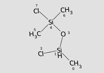 C[SiH](Cl)O[Si](C)(C)Cl